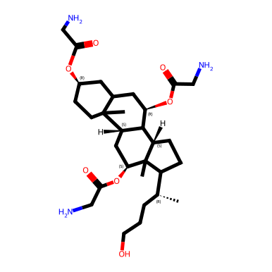 C[C@H](CCCO)C1CC[C@H]2C3[C@H](OC(=O)CN)CC4C[C@H](OC(=O)CN)CCC4(C)[C@H]3C[C@H](OC(=O)CN)C12C